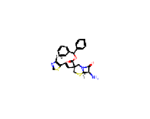 Cc1ncsc1C=CC1(C(=O)OC(c2ccccc2)c2ccccc2)CS[C@@H]2C(N)C(=O)N2C1